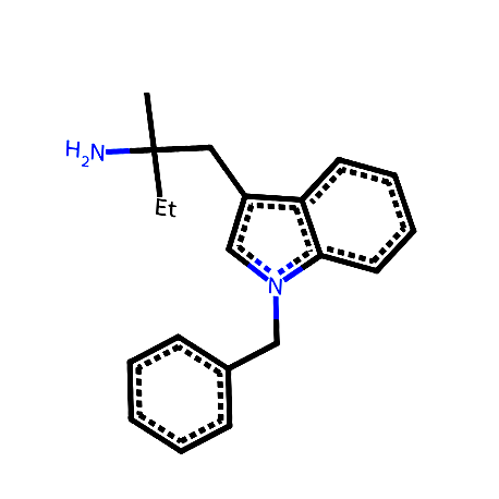 CCC(C)(N)Cc1cn(Cc2ccccc2)c2ccccc12